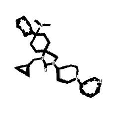 CN(C)C1(c2ccccc2)CCC2(CC1)CN(C1CCN(c3cccnc3)CC1)C(=O)N2CC1CC1